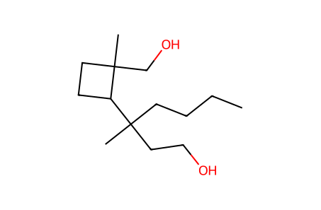 CCCCC(C)(CCO)C1CCC1(C)CO